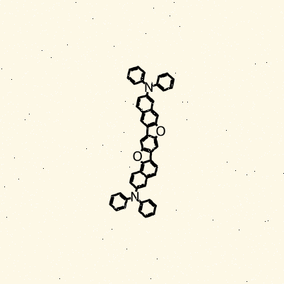 c1ccc(N(c2ccccc2)c2ccc3cc4c(cc3c2)oc2cc3c(cc24)oc2c4ccc(N(c5ccccc5)c5ccccc5)cc4ccc32)cc1